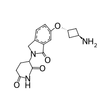 N[C@H]1C[C@H](Oc2ccc3c(c2)C(=O)N(C2CCC(=O)NC2=O)C3)C1